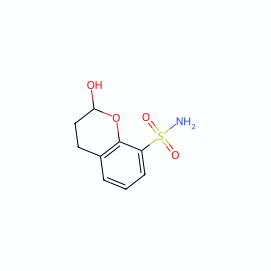 NS(=O)(=O)c1cccc2c1OC(O)CC2